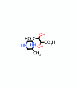 C[C@H]1CNCCN1.O=C(O)C(O)C(O)C(=O)O